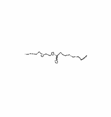 CCCCCCCC(=O)OCCOCCCC